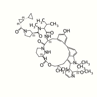 CCn1c(-c2cccnc2[C@H](C)OC)c2c3cc(ccc31)-c1cc(O)cc(c1)C[C@H](NC(=O)C(C(C)C)N(C)C(=O)[C@H]1CCN(C(=O)[C@@H]3C[C@@H]3C3CC3)C1)C(=O)N1CCC[C@H](N1)C(=O)OCC(C)(C)C2